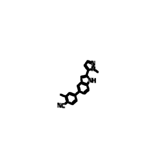 Cc1cc(-c2ccc3[nH]c(-c4ccnn4C)cc3c2)ccc1C#N